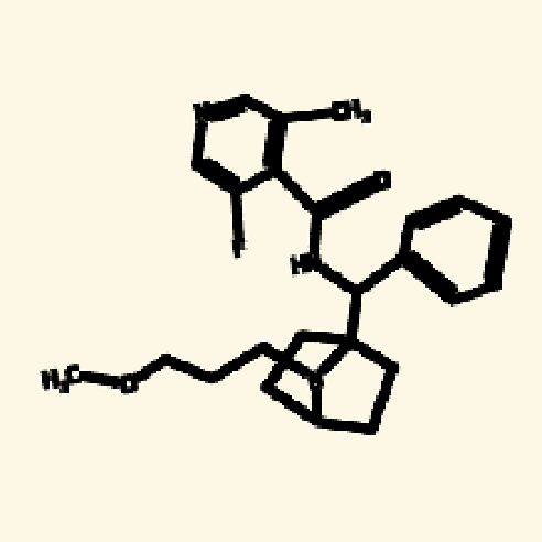 COCCCN1C2CCC1(C(NC(=O)c1c(C)cncc1F)c1ccccc1)CC2